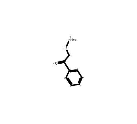 CCCCCCOCC(=O)c1ccccc1